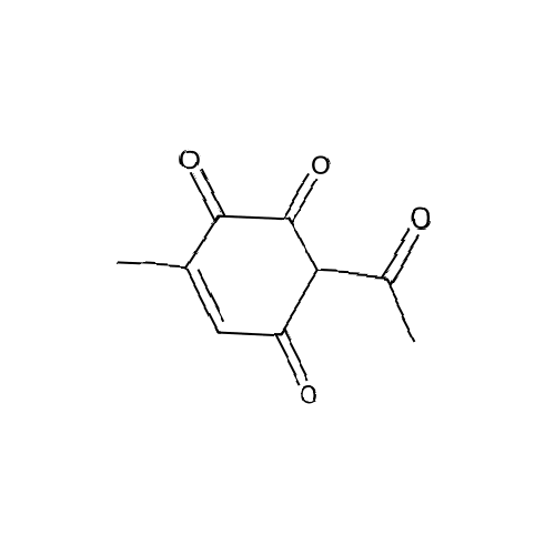 CC(=O)C1C(=O)C=C(C)C(=O)C1=O